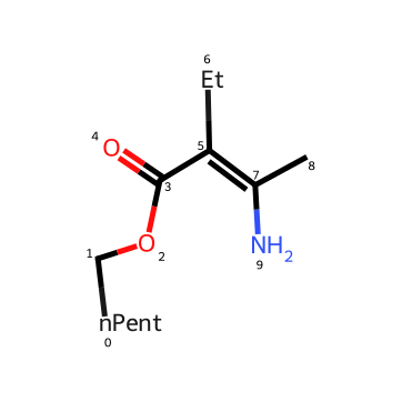 CCCCCCOC(=O)C(CC)=C(C)N